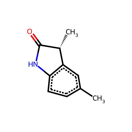 Cc1ccc2c(c1)[C@@H](C)C(=O)N2